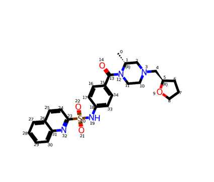 C[C@@H]1CN(C[C@H]2CCCO2)CCN1C(=O)c1ccc(NS(=O)(=O)c2ccc3ccccc3n2)cc1